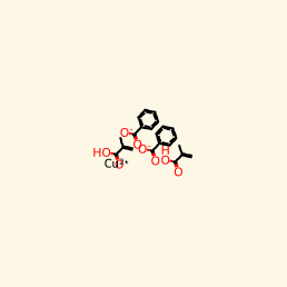 C=C(C)C(=O)O.C=C(C)C(=O)O.O=C([O-])c1ccccc1.O=C([O-])c1ccccc1.[Cu+2]